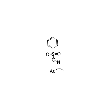 CC(=O)/C(C)=N\OS(=O)(=O)c1ccccc1